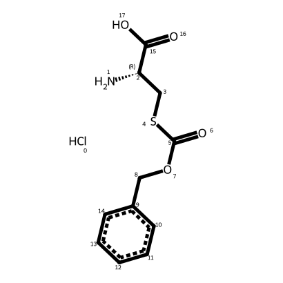 Cl.N[C@@H](CSC(=O)OCc1ccccc1)C(=O)O